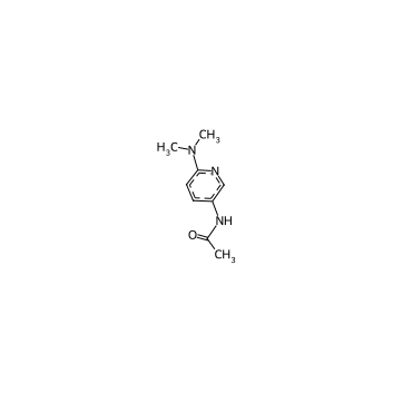 CC(=O)Nc1ccc(N(C)C)nc1